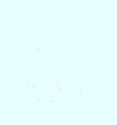 C=CC(=O)N1CCCC(n2nc(-c3ccc(CNC(=O)c4cccc(F)c4OC)cc3)c3c(N)ncnc32)C1